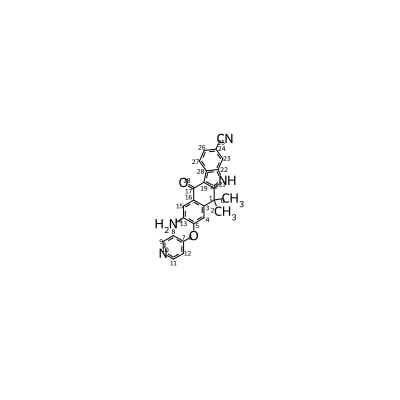 CC1(C)c2cc(Oc3ccncc3)c(N)cc2C(=O)c2c1[nH]c1cc(C#N)ccc21